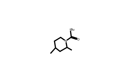 CC1CCN(C(=O)C(C)(C)C)C(C)C1